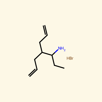 Br.C=CCC(CC=C)C(N)CC